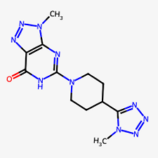 Cn1nnnc1C1CCN(c2nc3c(nnn3C)c(=O)[nH]2)CC1